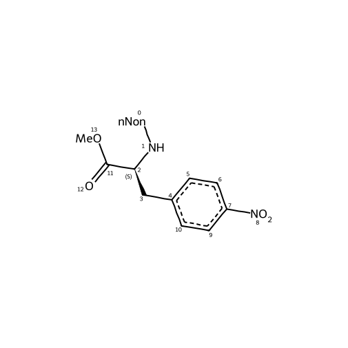 CCCCCCCCCN[C@@H](Cc1ccc([N+](=O)[O-])cc1)C(=O)OC